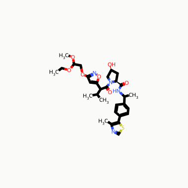 CCOC(COc1cc(C(C(=O)N2C[C@H](O)C[C@H]2C(=O)NC(C)c2ccc(-c3scnc3C)cc2)C(C)C)on1)OC